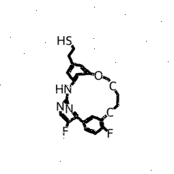 Fc1ccc2cc1CCCCCOc1cc(CCS)cc(c1)Nc1ncc(F)c-2n1